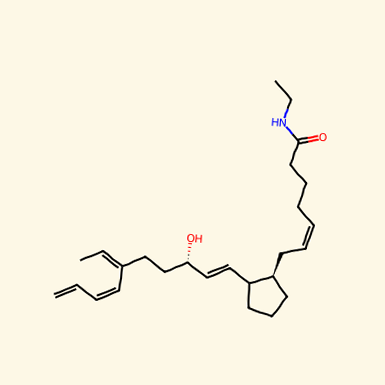 C=C/C=C\C(=C/C)CC[C@H](O)/C=C/C1CCC[C@@H]1C/C=C\CCCC(=O)NCC